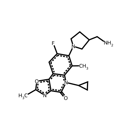 Cc1nc2c(=O)n(C3CC3)c3c(C)c(N4CCC(CN)C4)c(F)cc3c2o1